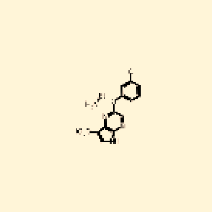 CCN.O=C(O)c1c[nH]c2ncc(Oc3cccc(Cl)c3)nc12